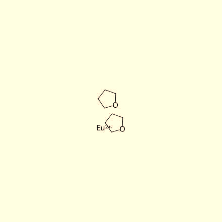 C1CCOC1.C1CCOC1.[Eu+2]